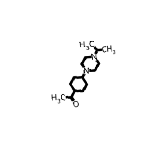 CC(=O)C1CCC(N2CCN(C(C)C)CC2)CC1